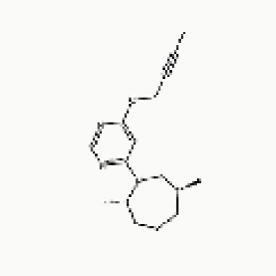 CC#CCOc1cc(N2C[C@@H](C)CCC[C@@H]2C)ncn1